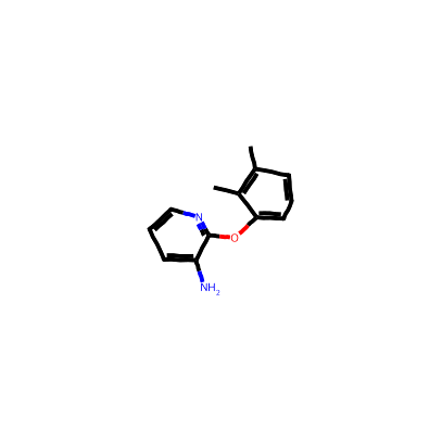 Cc1cccc(Oc2ncccc2N)c1C